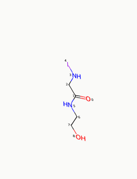 O=C(CNI)NCCO